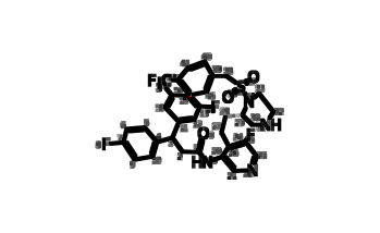 O=C(CC(c1ccc(F)cc1)c1cc(F)cc(F)c1)Nc1cncc(F)c1CC[C@H]1CNCCN1S(=O)(=O)Cc1ccc(C(F)(F)F)cc1